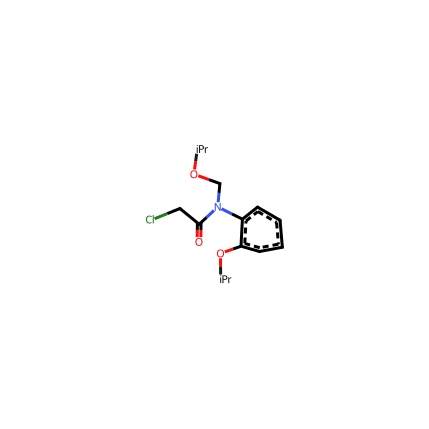 CC(C)OCN(C(=O)CCl)c1ccccc1OC(C)C